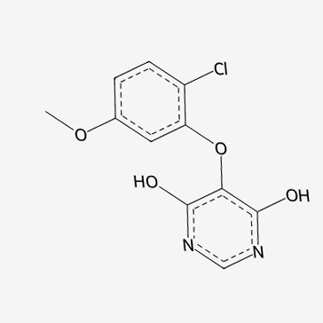 COc1ccc(Cl)c(Oc2c(O)ncnc2O)c1